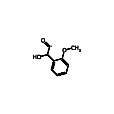 COc1ccccc1C(O)[C]=O